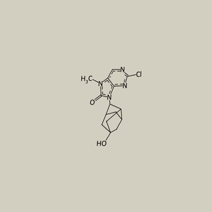 Cn1c(=O)n(C2C3CC4CC(O)(C3)CC42)c2nc(Cl)ncc21